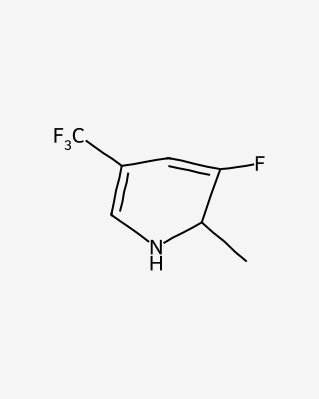 CC1NC=C(C(F)(F)F)C=C1F